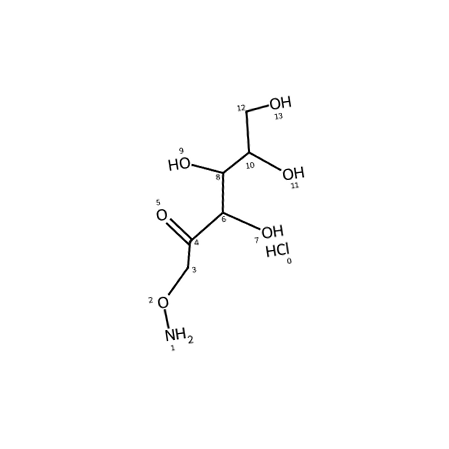 Cl.NOCC(=O)C(O)C(O)C(O)CO